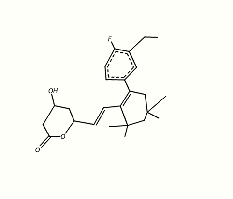 CCc1cc(C2=C(C=CC3CC(O)CC(=O)O3)C(C)(C)CC(C)(C)C2)ccc1F